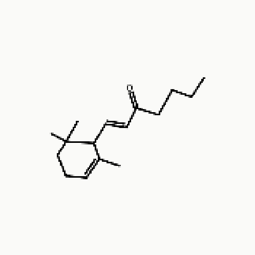 CCCCC(=O)C=CC1C(C)=CCCC1(C)C